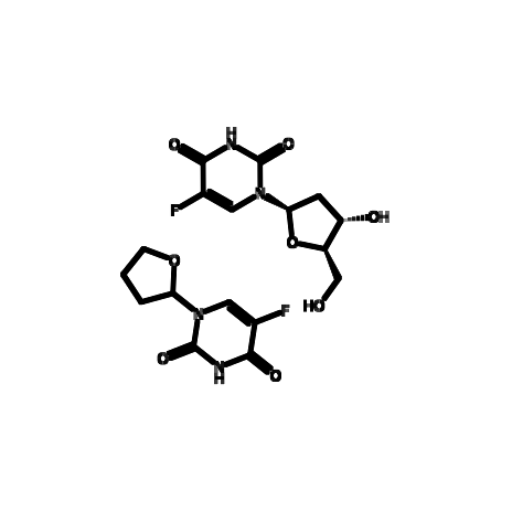 O=c1[nH]c(=O)n(C2CCCO2)cc1F.O=c1[nH]c(=O)n([C@H]2C[C@H](O)[C@@H](CO)O2)cc1F